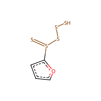 S=S(SSS)c1ccco1